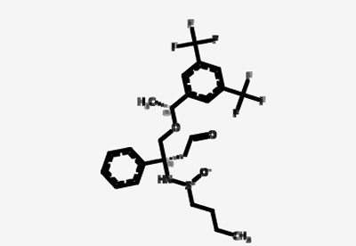 CCCC[S+]([O-])N[C@](CC=O)(CO[C@H](C)c1cc(C(F)(F)F)cc(C(F)(F)F)c1)c1ccccc1